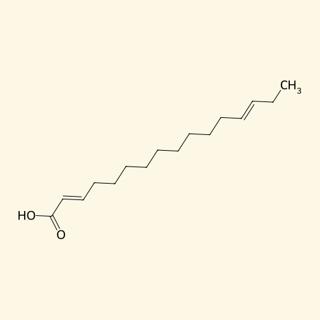 CCC=CCCCCCCCCCC=CC(=O)O